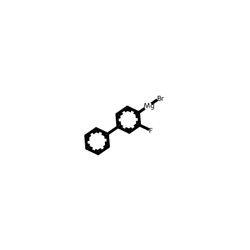 Fc1cc(-c2ccccc2)cc[c]1[Mg][Br]